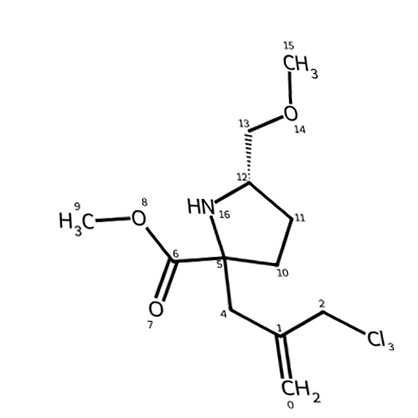 C=C(CCl)CC1(C(=O)OC)CC[C@@H](COC)N1